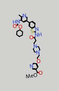 COC(=O)c1cncc(OCCN2CCN(CCC(=O)Nc3nc4ccc(-c5cnc(C)c(NC(=O)OC6CCCCC6)c5)cc4s3)CC2)c1